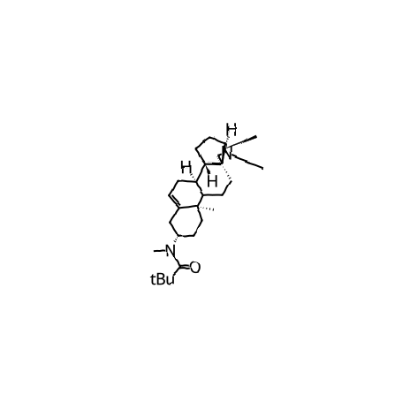 C[C@H]1[C@H]2CC[C@H]3[C@@H]4CC=C5C[C@@H](N(C)C(=O)C(C)(C)C)CC[C@]5(C)C4CC[C@]23CN1C